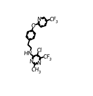 Cc1nc(NCCc2ccc(Oc3ccc(C(F)(F)F)cn3)cc2)c(Cl)c(C(F)(F)F)n1